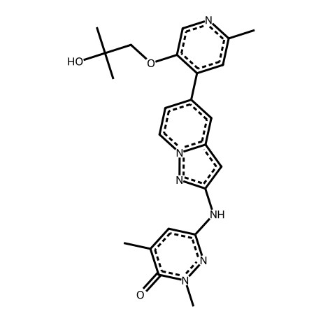 Cc1cc(-c2ccn3nc(Nc4cc(C)c(=O)n(C)n4)cc3c2)c(OCC(C)(C)O)cn1